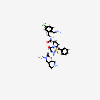 CN(CC1CCNCC1)C(=O)C[C@@H](NS(=O)(=O)Cc1ccccc1)C(=O)N1CCC[C@H]1C(=O)NCc1cc(Cl)ccc1CN